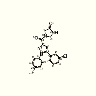 O=C1CN(C(=O)c2cc(-c3cccc(Cl)c3)n(-c3ccc(F)cc3)n2)CN1